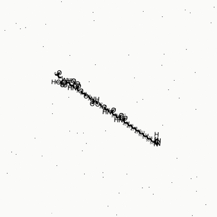 CC(=O)CC[C@H](NC(=O)CCC(NC(=O)COCCOCCNC(=O)COCCOCCNC(=O)CCC[S+]([O-])NC(=O)CCCCCCCCCCCCCCCc1nnn[nH]1)C(=O)O)C(=O)O